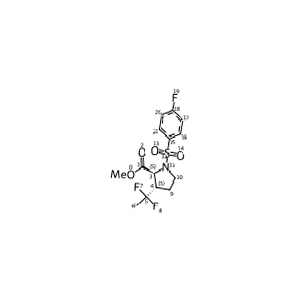 COC(=O)[C@@H]1[C@@H](C(C)(F)F)CCN1S(=O)(=O)c1ccc(F)cc1